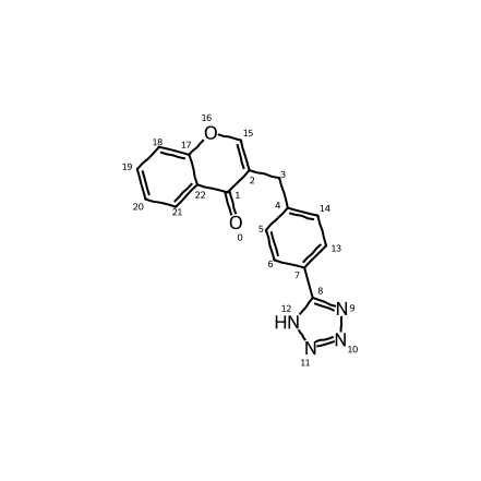 O=c1c(Cc2ccc(-c3nnn[nH]3)cc2)coc2ccccc12